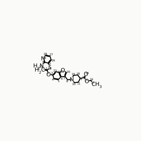 C=C(Oc1ccc2c(CN3CCC(C(=O)OCC)CC3)coc2c1)Sc1cccnc1N